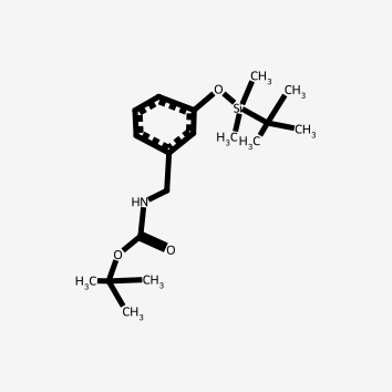 CC(C)(C)OC(=O)NCc1cccc(O[Si](C)(C)C(C)(C)C)c1